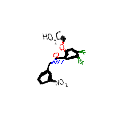 O=C(O)COc1cc(F)c(Br)cc1C(=O)NCc1cccc([N+](=O)[O-])c1